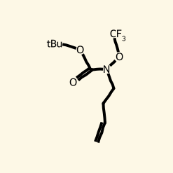 C=CCCN(OC(F)(F)F)C(=O)OC(C)(C)C